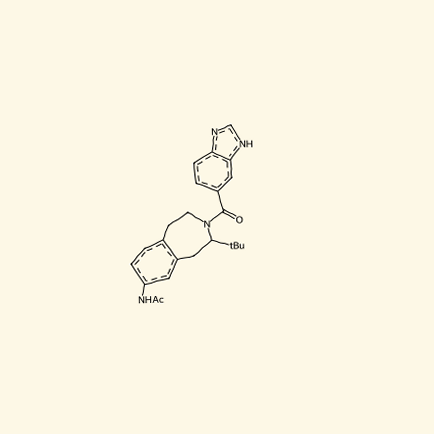 CC(=O)Nc1ccc2c(c1)CC(C(C)(C)C)N(C(=O)c1ccc3nc[nH]c3c1)CC2